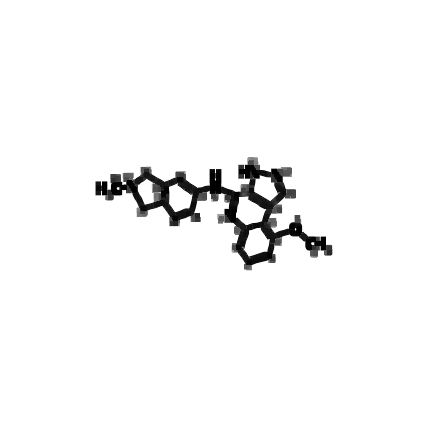 COc1cccc2nc(Nc3ccc4c(c3)CN(C)C4)c3[nH]ncc3c12